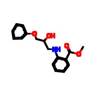 COC(=O)c1ccccc1NCC(O)COc1ccccc1